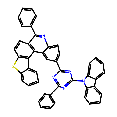 c1ccc(-c2nc(-c3ccc4nc(-c5ccccc5)c5ccc6sc7ccccc7c6c5c4c3)nc(-n3c4ccccc4c4ccccc43)n2)cc1